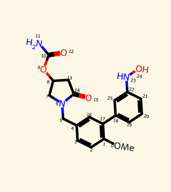 COc1ccc(CN2CC(OC(N)=O)CC2=O)cc1-c1cccc(NO)c1